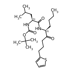 CCCC[C@H](NC(=O)[C@H](CC(C)C)NC(=O)OC(C)(C)C)C(=O)CCCc1cccs1